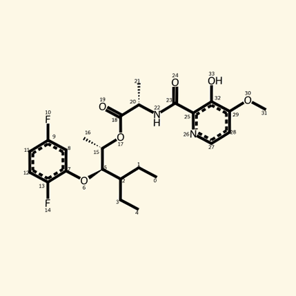 CCC(CC)[C@@H](Oc1cc(F)ccc1F)[C@H](C)OC(=O)[C@H](C)NC(=O)c1nccc(OC)c1O